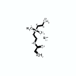 C=CC(=O)OCC[N+](C)(C)CCC.[Br-]